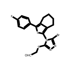 O=CCSc1nnc(Br)n1-c1sc(-c2ccc(F)cc2)c2c1CCCC2